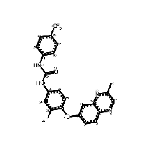 Cc1cnc2ccc(Oc3ccc(NC(=O)Nc4ccc(C(F)(F)F)cc4)cc3F)cc2n1